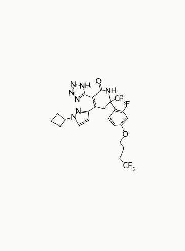 O=C1NC(c2ccc(OCCCC(F)(F)F)cc2F)(C(F)(F)F)CC(c2ccn(C3CCC3)n2)=C1c1nnn[nH]1